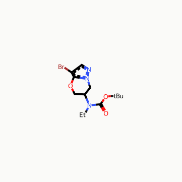 CCN(C(=O)OC(C)(C)C)C1COc2c(Br)cnn2C1